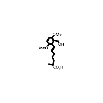 COc1ccc(OC)c(CO)c1C=CCCCC(C)C(=O)O